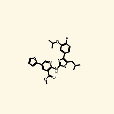 COC(=O)c1cc(-c2cccs2)cnc1Nc1nc(-c2ccc(F)c(OC(C)C)c2)c(CC(C)C)s1